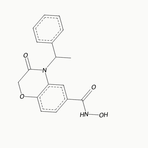 CC(c1ccccc1)N1C(=O)COc2ccc(C(=O)NO)cc21